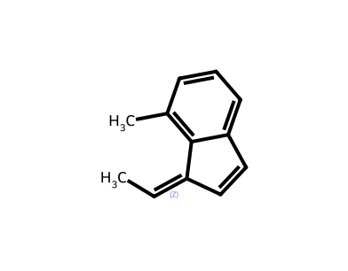 C/C=C1/C=Cc2cccc(C)c21